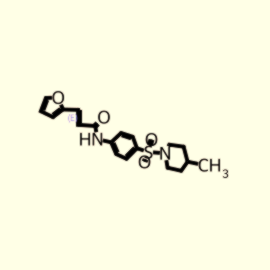 CC1CCN(S(=O)(=O)c2ccc(NC(=O)/C=C/c3ccco3)cc2)CC1